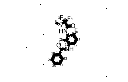 CSC(F)(F)C(=O)Nc1c(F)ccc(NC(=O)c2ccccc2)c1F